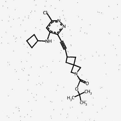 CC(C)(C)OC(=O)N1CC2(CC(C#Cc3nnc(Cl)cc3NC3CCC3)C2)C1